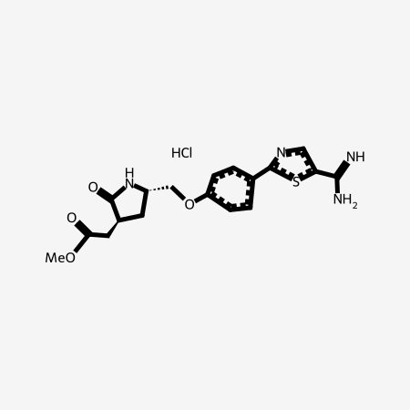 COC(=O)C[C@@H]1C[C@@H](COc2ccc(-c3ncc(C(=N)N)s3)cc2)NC1=O.Cl